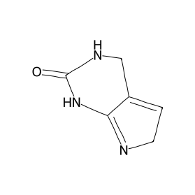 O=C1NCC2=CCN=C2N1